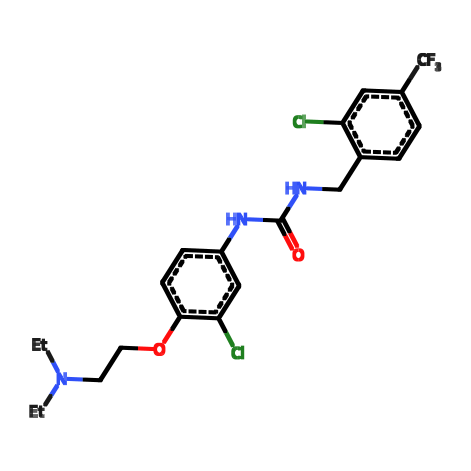 CCN(CC)CCOc1ccc(NC(=O)NCc2ccc(C(F)(F)F)cc2Cl)cc1Cl